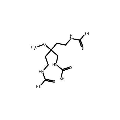 COC(CCNC(=S)S)(CCNC(=S)S)CNC(=S)S